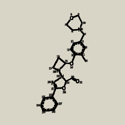 Cc1cc(CN2CCOCC2)ccc1OC1CCN1N1N=C(c2ccccc2)OC1C=O